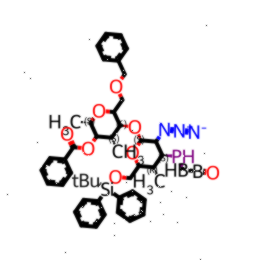 C[C@@H]1OC(COCc2ccccc2)[C@@H](O[C@@H]2OC(CO[Si](c3ccccc3)(c3ccccc3)C(C)(C)C)[C@@H](C)[C@H](PBB=O)C2N=[N+]=[N-])[C@H](C)C1OC(=O)c1ccccc1